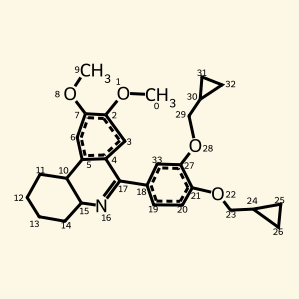 COc1cc2c(cc1OC)C1CCCCC1N=C2c1ccc(OCC2CC2)c(OCC2CC2)c1